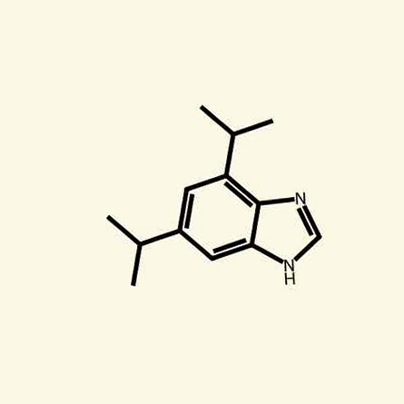 CC(C)c1cc(C(C)C)c2nc[nH]c2c1